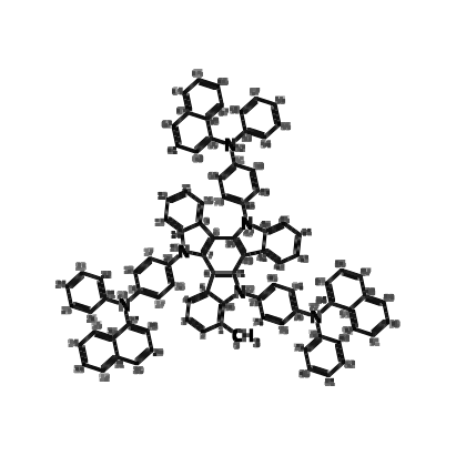 Cc1cccc2c3c4c(c5ccccc5n4-c4ccc(N(c5ccccc5)c5cccc6ccccc56)cc4)c4c(c5ccccc5n4-c4ccc(N(c5ccccc5)c5cccc6ccccc56)cc4)c3n(-c3ccc(N(c4ccccc4)c4cccc5ccccc45)cc3)c12